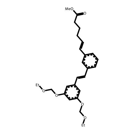 CCOCOc1cc(/C=C/c2cccc(/C=C/CCCC(=O)OC)c2)cc(OCOCC)c1